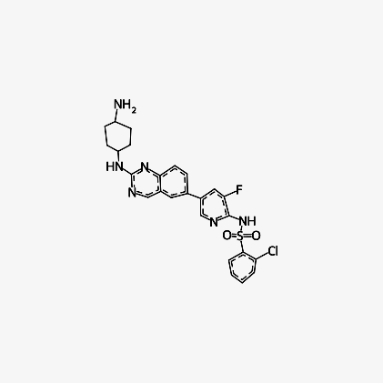 NC1CCC(Nc2ncc3cc(-c4cnc(NS(=O)(=O)c5ccccc5Cl)c(F)c4)ccc3n2)CC1